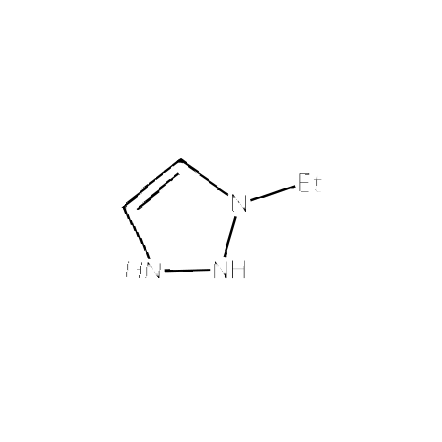 CCN1C=CNN1